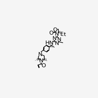 C=CC(=O)N1[C@H](C)CN(Cc2ccc([C@H](C)Nc3nc(C)nc(N4C(=O)OC[C@@H]4CC)n3)cc2)C[C@@H]1C